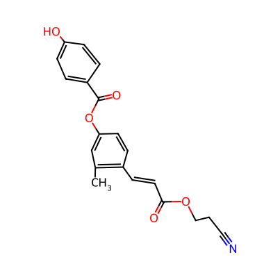 Cc1cc(OC(=O)c2ccc(O)cc2)ccc1/C=C/C(=O)OCCC#N